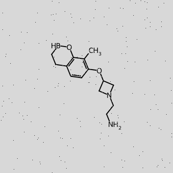 Cc1c(OC2CN(CCN)C2)ccc2c1OBCC2